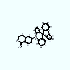 O=C1OCCc2cc(N3c4ccccc4C4(c5ccccc5-c5ccccc54)c4ccccc43)ccc21